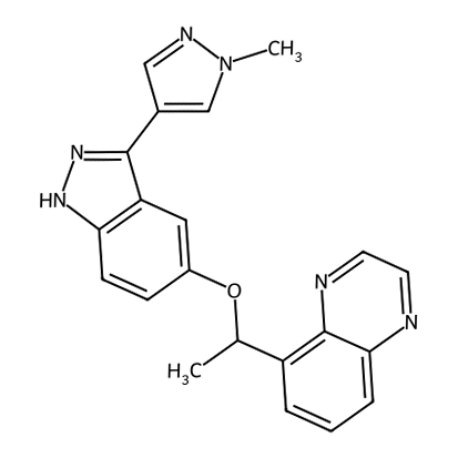 CC(Oc1ccc2[nH]nc(-c3cnn(C)c3)c2c1)c1cccc2nccnc12